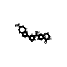 CCCN1CCc2ccc(-c3cncc(C(=N)c4ccc5c(c4)OCCNC5=O)c3)cc2CC1